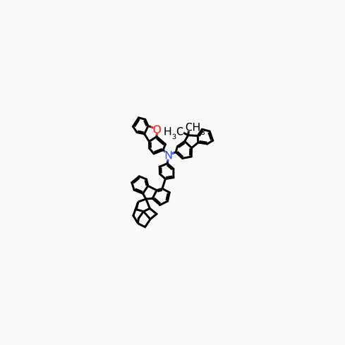 CC1(C)c2ccccc2-c2ccc(N(c3ccc(-c4cccc5c4-c4ccccc4C54C5CC6CC7CC4C7(C6)C5)cc3)c3ccc4c(c3)oc3ccccc34)cc21